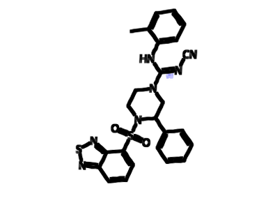 Cc1ccccc1N/C(=N\C#N)N1CCN(S(=O)(=O)c2cccc3nsnc23)C(c2ccccc2)C1